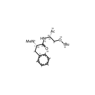 CN[C@@H](Cc1ccccc1)C(=O)N[C@@H](COC(C)(C)C)C(C)=O